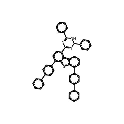 c1ccc(C2=NC(c3ccc(-c4ccc(-c5ccccc5)cc4)c4sc5c(-c6ccc(-c7ccccc7)cc6)cccc5c34)=NC(c3ccccc3)N2)cc1